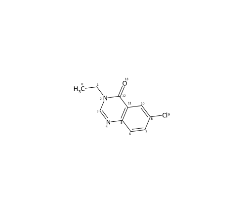 CCn1cnc2ccc(Cl)cc2c1=O